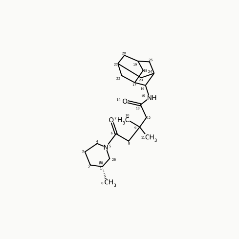 C[C@@H]1CCCN(C(=O)CC(C)(C)CC(=O)NC2C3CC4CC(C3)CC2C4)C1